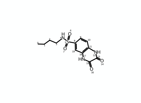 CCCCNS(=O)(=O)c1ccc2[nH]c(=O)c(=O)[nH]c2c1